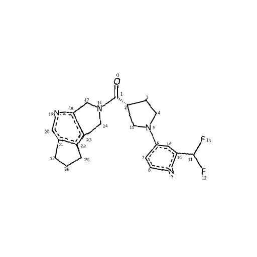 O=C([C@@H]1CCN(c2ccnc(C(F)F)c2)C1)N1Cc2ncc3c(c2C1)CCC3